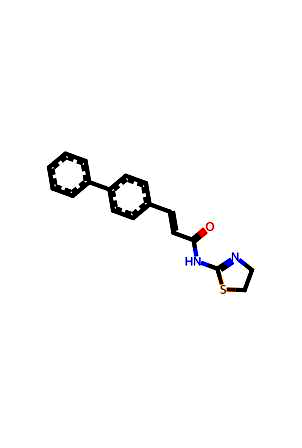 O=C(/C=C/c1ccc(-c2ccccc2)cc1)NC1=NCCS1